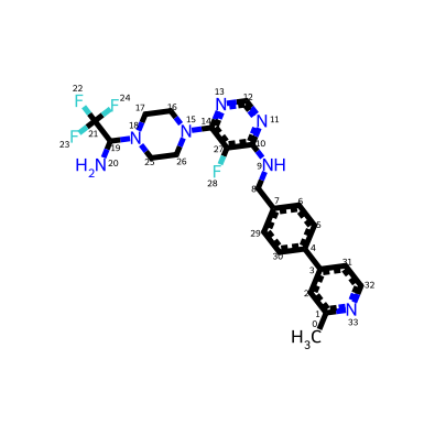 Cc1cc(-c2ccc(CNc3ncnc(N4CCN(C(N)C(F)(F)F)CC4)c3F)cc2)ccn1